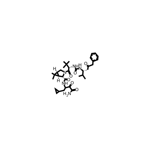 CC(C)[C@@H](CC(=O)Cc1ccccc1)NC(=O)N[C@H](C(=O)N1C[C@H]2[C@@H]([C@H]1C(=O)NC(CC1CC1)C(=O)C(N)=O)C2(C)C)C(C)(C)C